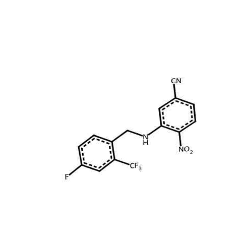 N#Cc1ccc([N+](=O)[O-])c(NCc2ccc(F)cc2C(F)(F)F)c1